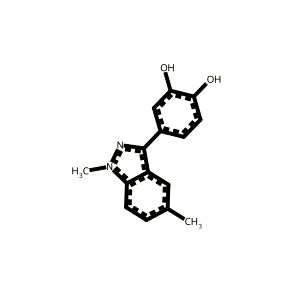 Cc1ccc2c(c1)c(-c1ccc(O)c(O)c1)nn2C